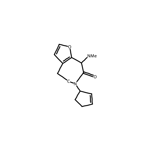 CNC1C(=O)N(C2C=CCC2)CCc2ccoc21